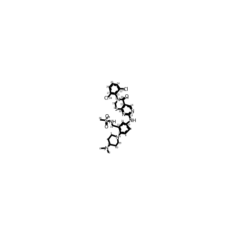 CN(C)C1CCN(c2ccc(Nc3ncc4c(n3)SCN(c3c(Cl)cccc3Cl)C4=O)cc2CNS(C)(=O)=O)CC1